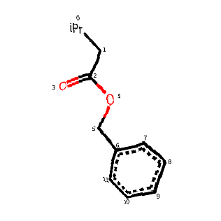 CC(C)CC(=O)OCc1ccccc1